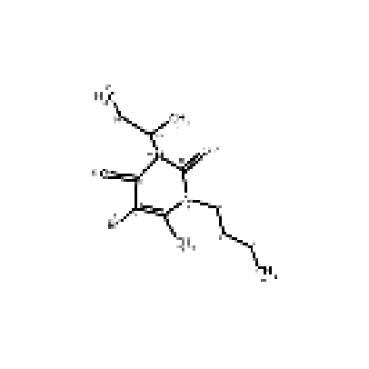 CCCCn1c(C)c(Br)c(=O)n(C(C)CC)c1=O